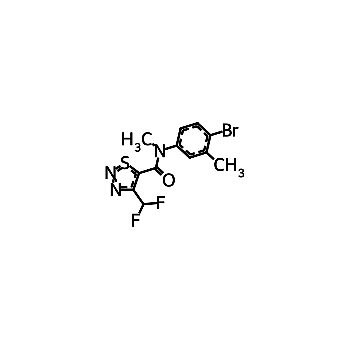 Cc1cc(N(C)C(=O)c2snnc2C(F)F)ccc1Br